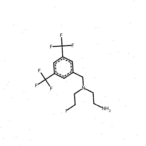 NCCN(CCI)Cc1cc(C(F)(F)F)cc(C(F)(F)F)c1